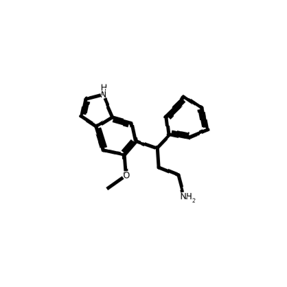 COc1cc2cc[nH]c2cc1C(CCN)c1ccccc1